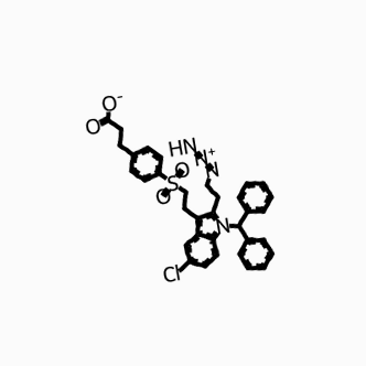 N=[N+]=NCCc1c(CCS(=O)(=O)c2ccc(CCC(=O)[O-])cc2)c2cc(Cl)ccc2n1C(c1ccccc1)c1ccccc1